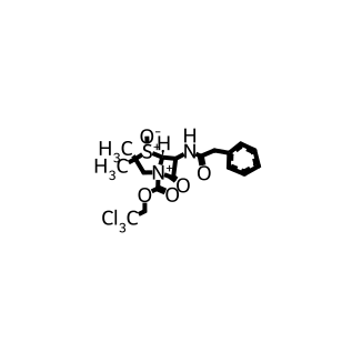 CC1(C)C[N+]2(C(=O)OCC(Cl)(Cl)Cl)C(=O)C(NC(=O)Cc3ccccc3)[C@@H]2[S+]1[O-]